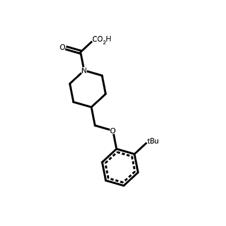 CC(C)(C)c1ccccc1OCC1CCN(C(=O)C(=O)O)CC1